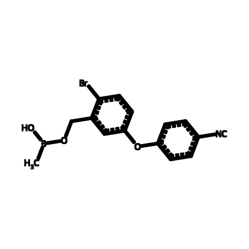 [C-]#[N+]c1ccc(Oc2ccc(Br)c(COB(C)O)c2)cc1